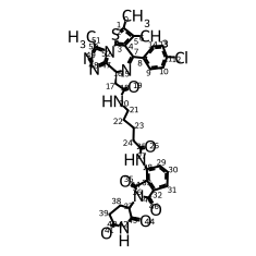 Cc1sc2c(c1C)C(c1ccc(Cl)cc1)=N[C@@H](CC(=O)NCCCCC(=O)Nc1cccc3c1C(=O)N(C1CCC(=O)NC1=O)C3=O)c1nnc(C)n1-2